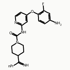 CCCC(=N)C1CCN(C(=O)Nc2cc(Oc3ccc(N)cc3F)ccn2)CC1